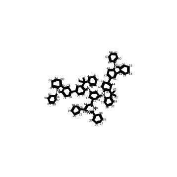 CC1(C)c2ccccc2N(c2cc(-c3cc(-c4ccccc4)nc(-c4ccccc4)n3)cc(N3c4ccccc4C(C)(C)c4cc(-c5ccc6c(c5)c5ccccc5n6-c5ccccc5)ccc43)c2)c2ccc(-c3ccc4c(c3)c3ccccc3n4-c3ccccc3)cc21